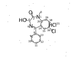 CN1C(=O)C(O)N=C(c2ccccc2)c2cc(Cl)ccc21.Cl